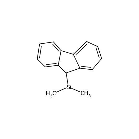 C[Si](C)C1c2ccccc2-c2ccccc21